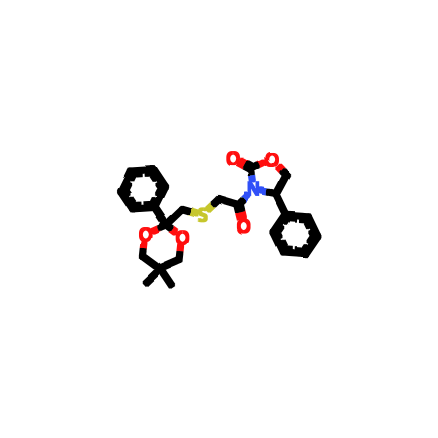 CC1(C)COC(CSCC(=O)N2C(=O)OCC2c2ccccc2)(c2ccccc2)OC1